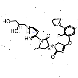 CC1C[C@H](N2CC(Oc3cccc(N4CCCC4)c3F)=CC2=O)C(=O)N1C(=N)/C=C\NC[C@@H](O)CO